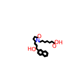 O=C(O)CCCCCCN1C(=O)CCC1/C=C/C(O)c1ccc2ccccc2c1